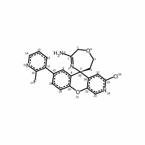 NC1=N[C@@]2(CCOC1)c1cc(-c3cccnc3F)ccc1Oc1cnc(Cl)cc12